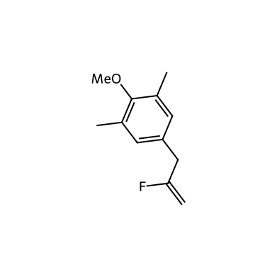 C=C(F)Cc1cc(C)c(OC)c(C)c1